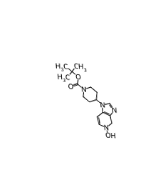 CC(C)(C)OC(=O)N1CCC(n2cnc3c2C=CN(O)C3)CC1